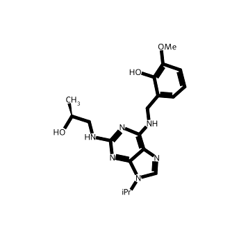 COc1cccc(CNc2nc(NC[C@H](C)O)nc3c2ncn3C(C)C)c1O